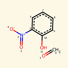 C=O.O=[N+]([O-])c1ccccc1O